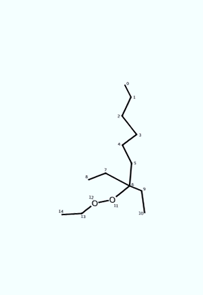 CCCCCCC(CC)(CC)OOCC